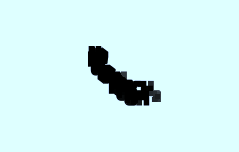 C=C(Cc1nc(-c2ccc(Oc3cccnn3)cc2)no1)C(=O)O